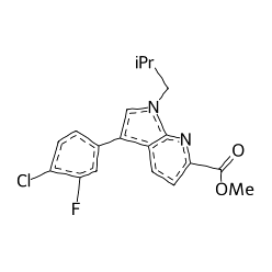 COC(=O)c1ccc2c(-c3ccc(Cl)c(F)c3)cn(CC(C)C)c2n1